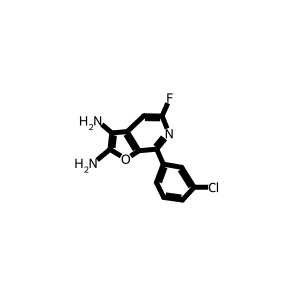 Nc1oc2c(-c3cccc(Cl)c3)nc(F)cc2c1N